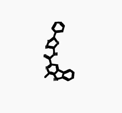 Cc1nc(C(=O)Nc2nnc(-c3ccccc3)s2)cc2c1[nH]c1ccccc12